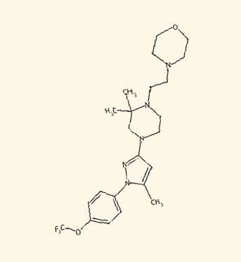 Cc1cc(N2CCN(CCN3CCOCC3)C(C)(C)C2)nn1-c1ccc(OC(F)(F)F)cc1